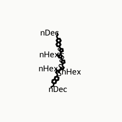 CCCCCCCCCCCCc1ccc2cc(-c3ccc(-c4sc(-c5ccc(-c6cc(CCCCCC)c(-c7sc(-c8ccc9cc(CCCCCCCCCCCC)ccc9c8)cc7CCCCCC)s6)s5)cc4CCCCCC)s3)ccc2c1